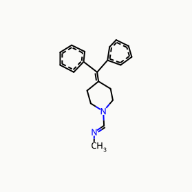 CN=CN1CCC(=C(c2ccccc2)c2ccccc2)CC1